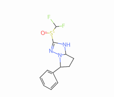 [O-][S+](C1=NN2C(CCC2c2ccccc2)N1)C(F)F